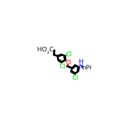 CCCNc1cc(Cl)cc(COc2c(Cl)cc(CCC(=O)O)cc2Cl)c1